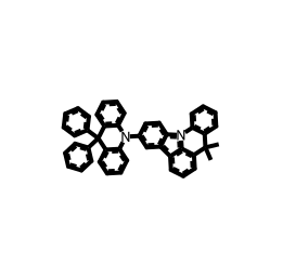 CC1(C)c2ccccc2-n2c3ccc(N4c5ccccc5C(c5ccccc5)(c5ccccc5)c5ccccc54)cc3c3cccc1c32